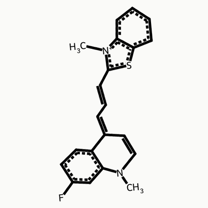 CN1C=C/C(=C\C=C\c2sc3ccccc3[n+]2C)c2ccc(F)cc21